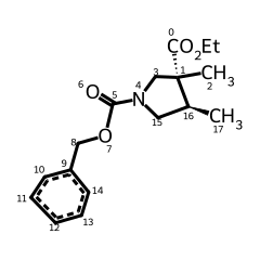 CCOC(=O)[C@@]1(C)CN(C(=O)OCc2ccccc2)C[C@@H]1C